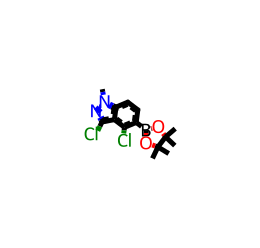 Cn1nc(Cl)c2c(Cl)c(B3OC(C)(C)C(C)(C)O3)ccc21